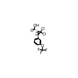 O=C(O)[C@H]1[C@H](c2cccc(OC(F)(F)F)c2)C1(Cl)Cl